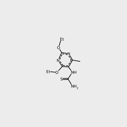 CCOc1nc(C)c(NC(N)=S)c(OCC)n1